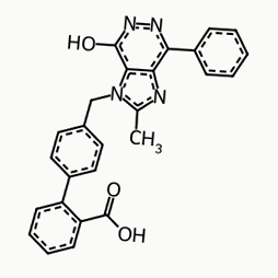 Cc1nc2c(-c3ccccc3)nnc(O)c2n1Cc1ccc(-c2ccccc2C(=O)O)cc1